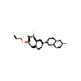 C=CCOc1cc2ccc(C3CCC4CC(C)CCC4C3)cc2c(F)c1F